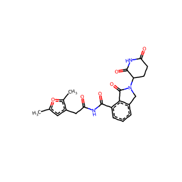 Cc1cc(CC(=O)NC(=O)c2cccc3c2C(=O)N(C2CCC(=O)NC2=O)C3)c(C)o1